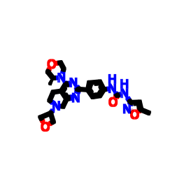 Cc1cc(NC(=O)Nc2ccc(-c3nc4c(c(N5CCOC[C@@H]5C)n3)CCN(C3COC3)C4)cc2)no1